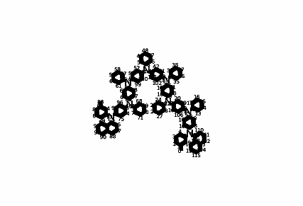 Cc1cccc(N(c2ccc(N(c3ccccc3)c3ccc(N(c4ccccc4)c4ccc(N(c5ccccc5)c5ccc(N(c6ccccc6)c6ccc(N(c7ccccc7)c7ccc(N(c8ccccc8)c8ccc(N(c9cccc(C)c9)c9cccc%10ccccc9%10)cc8)cc7)cc6)cc5)cc4)cc3)cc2)c2cccc3ccccc23)c1